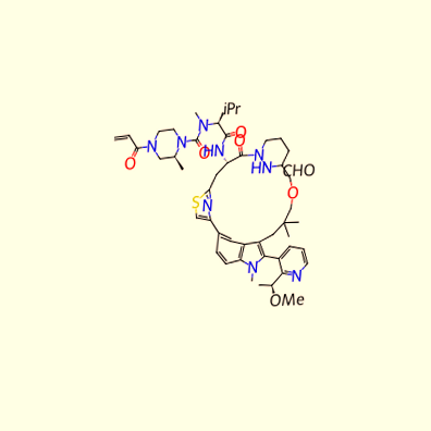 C=CC(=O)N1CCN(C(=O)N(C)[C@H](C(=O)N[C@H]2Cc3nc(cs3)-c3ccc4c(c3)c(c(-c3cccnc3[C@H](C)OC)n4C)CC(C)(C)COC[C@@]3(C=O)CCCN(N3)C2=O)C(C)C)[C@@H](C)C1